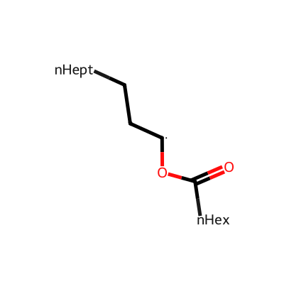 CCCCCCCCC[CH]OC(=O)CCCCCC